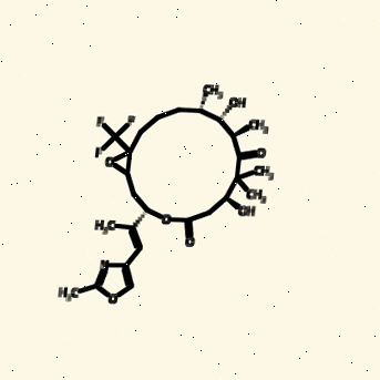 C/C(=C\c1coc(C)n1)[C@@H]1CC2OC2(C(F)(F)F)CCC[C@H](C)[C@H](O)[C@@H](C)C(=O)C(C)(C)[C@@H](O)CC(=O)O1